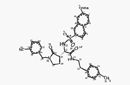 COc1ccc2ccc(S(=O)(=O)NC(C(=O)NCCc3ccc(C)cc3)[C@@H]3CCN(Cc4cccc(C#N)c4)C3=O)cc2c1